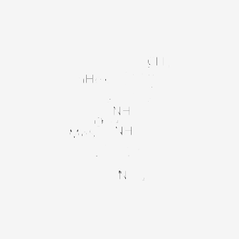 CCCCCCC(CNC(=O)Nc1c(SC)ccc2ncccc12)c1cccc(C)c1